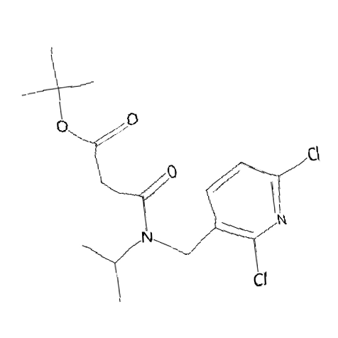 CC(C)N(Cc1ccc(Cl)nc1Cl)C(=O)CC(=O)OC(C)(C)C